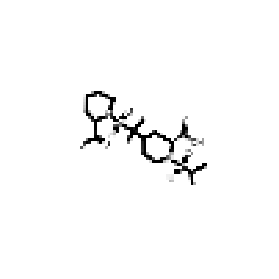 CC(C)S(=O)(=O)N1CCC(C(C)(C)S(=O)(=O)N2CCCC[C@@H]2C(=O)O)C[C@H]1C(=O)O